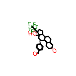 CC12C[C@H](c3ccc(C=O)cc3)C3=C4CCC(=O)C=C4CCC3C1CC[C@@]2(O)C(F)(F)C(F)(F)F